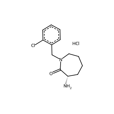 Cl.N[C@H]1CCCCN(Cc2ccccc2Cl)C1=O